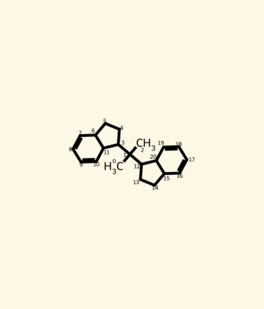 CC(C)(C1CCC2C=CC=CC21)C1CCC2C=CC=CC21